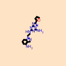 Nc1cccc2c1cnn2CCNc1nc(N)n2nc(-c3ccco3)nc2n1